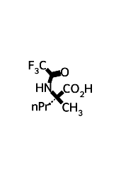 CCC[C@](C)(NC(=O)C(F)(F)F)C(=O)O